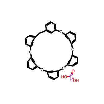 O=[PH](O)O.c1cc2cc(c1)Cc1cccc(c1)Cc1cccc(c1)Cc1cccc(c1)Cc1cccc(c1)Cc1cccc(c1)C2